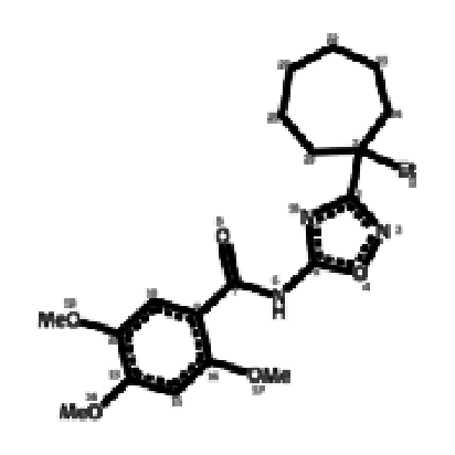 CCC1(c2noc(NC(=O)c3cc(OC)c(OC)cc3OC)n2)CCCCCC1